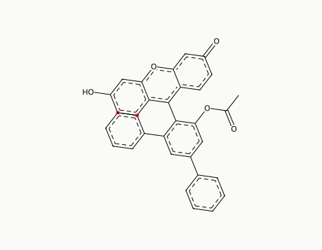 CC(=O)Oc1cc(-c2ccccc2)cc(-c2ccccc2)c1-c1c2ccc(=O)cc-2oc2cc(O)ccc12